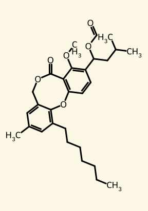 CCCCCCCc1cc(C)cc2c1Oc1ccc(C(CC(C)C)OC=O)c(OC)c1C(=O)OC2